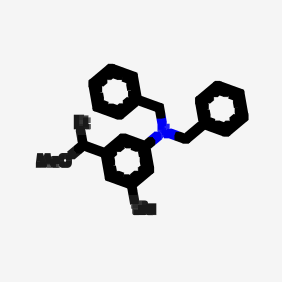 CCC(OC)c1cc(N(Cc2ccccc2)Cc2ccccc2)cc(C(C)(C)C)c1